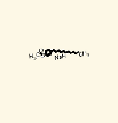 CCCCCCCCCCCCc1ccc(OC(C)=O)cc1.[NaH]